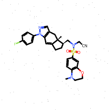 CN1CCOc2cc(S(=O)(=O)N(CC#N)C[C@H]3CCC4=Cc5c(cnn5-c5ccc(F)cc5)C[C@@]43C)ccc21